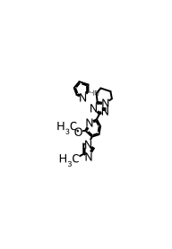 COc1nc(-c2nc3n(n2)CCC[C@H]3c2ccccn2)ccc1-n1cnc(C)c1